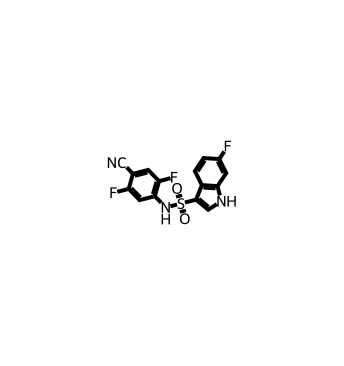 N#Cc1cc(F)c(NS(=O)(=O)c2c[nH]c3cc(F)ccc23)cc1F